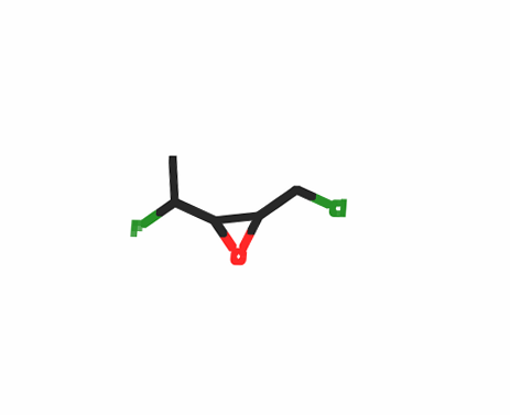 CC(F)C1OC1CCl